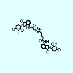 O=C1CCC(N2Cc3c(NC(=O)CCCc4cn(CC(=O)Nc5cccc6c5CN(C5CCC(=O)NC5=O)C6=O)nn4)cccc3C2=O)C(=O)N1